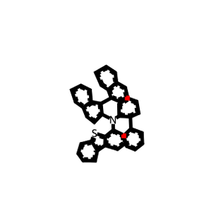 c1ccc(-c2ccccc2N(c2ccc3ccccc3c2-c2cccc3ccccc23)c2cccc3c2sc2ccccc23)cc1